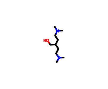 CN(C)CCC(CO)CCN(C)C